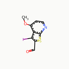 COc1ccnc2sc(C=O)c(I)c12